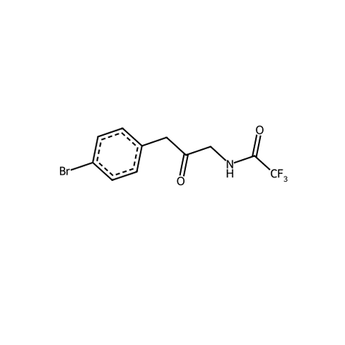 O=C(CNC(=O)C(F)(F)F)Cc1ccc(Br)cc1